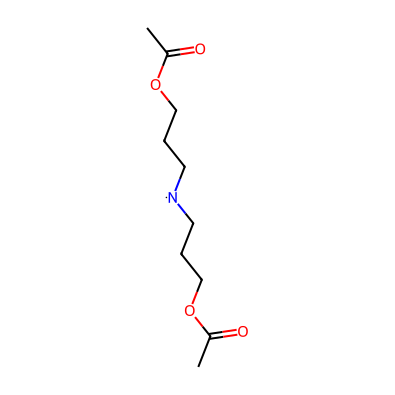 CC(=O)OCCC[N]CCCOC(C)=O